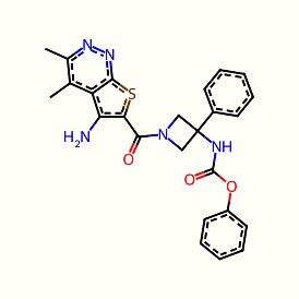 Cc1nnc2sc(C(=O)N3CC(NC(=O)Oc4ccccc4)(c4ccccc4)C3)c(N)c2c1C